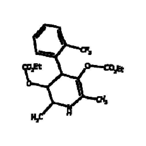 CCOC(=O)OC1=C(C)NC(C)C(OC(=O)OCC)C1c1ccccc1C(F)(F)F